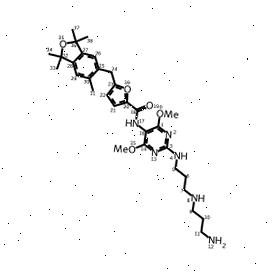 COc1nc(NCCCNCCCN)nc(OC)c1NC(=O)c1ccc(Cc2cc3c(cc2C)C(C)(C)OC3(C)C)o1